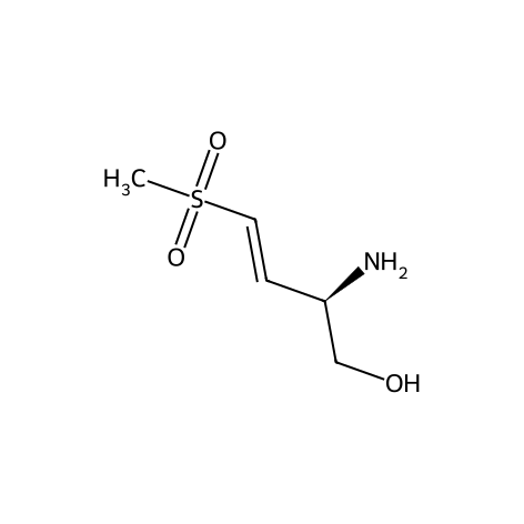 CS(=O)(=O)/C=C/[C@@H](N)CO